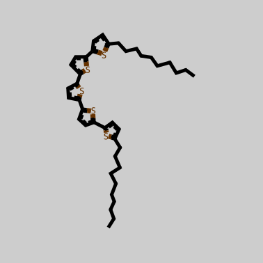 CCCCCCCCCCc1ccc(-c2ccc(-c3ccc(-c4ccc(-c5ccc(CCCCCCCCCC)s5)s4)s3)s2)s1